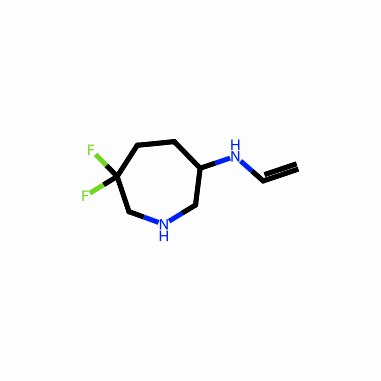 C=CNC1CCC(F)(F)CNC1